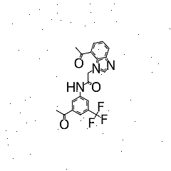 CC(=O)c1cc(NC(=O)Cn2cnc3cccc(C(C)=O)c32)cc(C(F)(F)F)c1